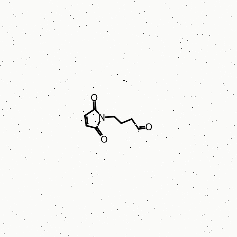 O=[C]CCCN1C(=O)C=CC1=O